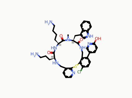 CN1C(=O)[C@H](CCCCN)NC(=O)[C@H](CCCN)NCc2cccnc2Sc2c(Cl)ccc(-c3ccc(O)nc3)c2CNC(=O)[C@@H]1Cc1c[nH]c2ccccc12